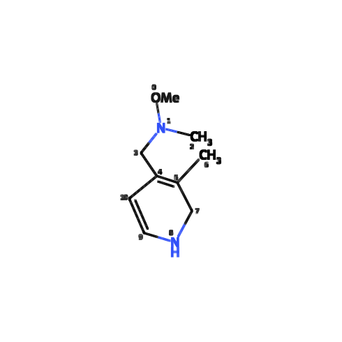 CON(C)CC1=C(C)CNC=C1